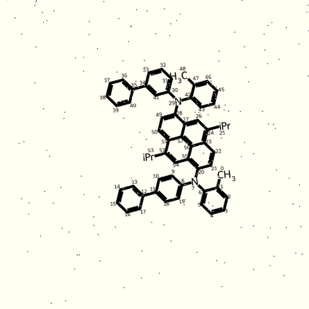 Cc1ccccc1N(c1ccc(-c2ccccc2)cc1)c1ccc2c(C(C)C)cc3c(N(c4cccc(-c5ccccc5)c4)c4ccccc4C)ccc4c(C(C)C)cc1c2c43